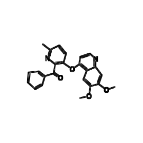 COc1cc2nccc(Oc3ccc(C)nc3C(=O)c3ccccc3)c2cc1OC